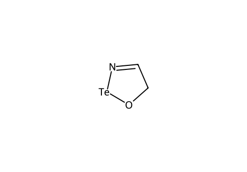 C1=N[Te]OC1